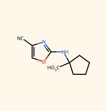 N#Cc1coc(NC2(C(=O)O)CCCC2)n1